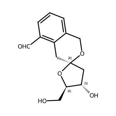 O=Cc1cccc2c1C[C@@]1(C[C@H](O)[C@@H](CO)O1)OC2